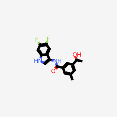 Cc1cc(C(=O)Nc2c[nH]c3cc(F)c(F)cc23)cc(C(C)O)c1